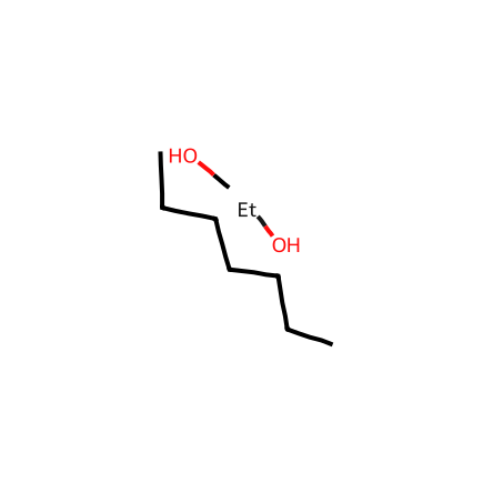 CCCCCCC.CCO.CO